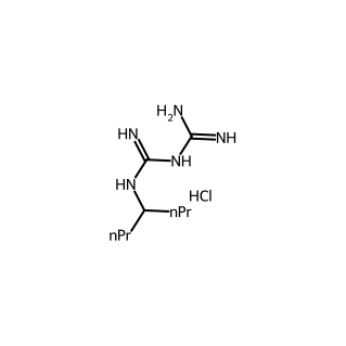 CCCC(CCC)NC(=N)NC(=N)N.Cl